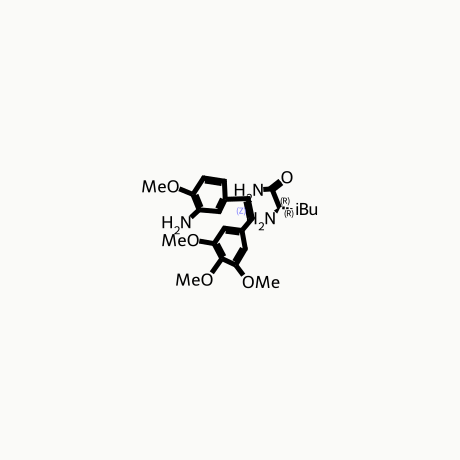 CC[C@@H](C)[C@@H](N)C(N)=O.COc1ccc(/C=C\c2cc(OC)c(OC)c(OC)c2)cc1N